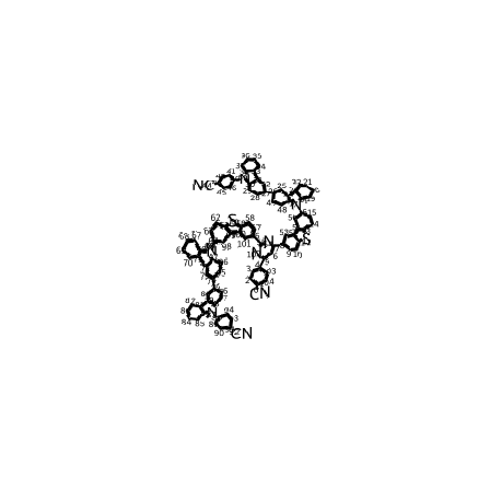 N#Cc1ccc(-c2cc(-c3ccc4sc5ccc(-n6c7ccccc7c7cc(-c8ccc9c(c8)c8ccccc8n9-c8ccc(C#N)cc8)ccc76)cc5c4c3)nc(-c3ccc4sc5ccc(-n6c7ccccc7c7cc(-c8ccc9c(c8)c8ccccc8n9-c8ccc(C#N)cc8)ccc76)cc5c4c3)n2)cc1